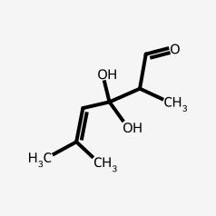 CC(C)=CC(O)(O)C(C)C=O